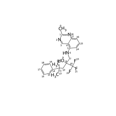 Cc1ncc2c(NCC(O)(CC(C)(C)c3ccccc3)C(F)(F)F)cccc2n1